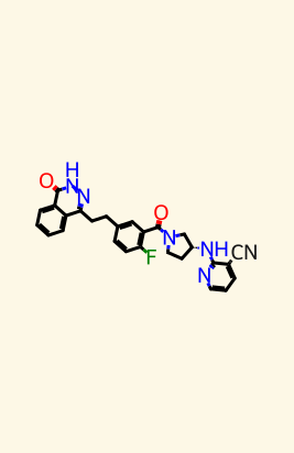 N#Cc1cccnc1N[C@@H]1CCN(C(=O)c2cc(CCc3n[nH]c(=O)c4ccccc34)ccc2F)C1